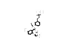 CC(C)(O)CCc1cccc2c1OCCN2c1nc2nncn2c2ccc(F)cc12